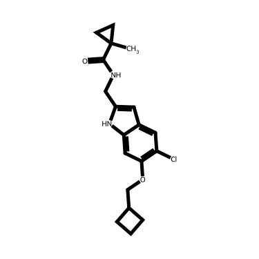 CC1(C(=O)NCc2cc3cc(Cl)c(OCC4CCC4)cc3[nH]2)CC1